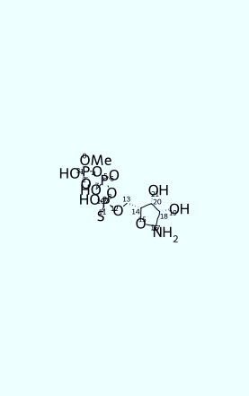 COP(=O)(O)OP(=O)(O)OP(O)(=S)OC[C@H]1O[C@@H](N)[C@@H](O)[C@H]1O